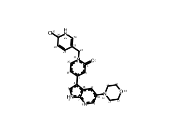 O=c1cc(-c2c[nH]c3ncc(N4CCOCC4)cc23)ccn1CC1=CNC(Cl)C=C1